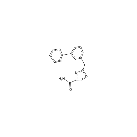 NC(=O)c1[c]cn(Cc2cccc(-c3ccccn3)c2)n1